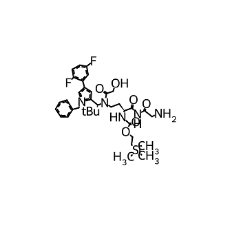 CC(C)(C)[C@H](c1cc(-c2cc(F)ccc2F)cn1Cc1ccccc1)N(CC[C@H](NC(=O)OCC[Si](C)(C)C)C(=O)NC(=O)CN)C(=O)CO